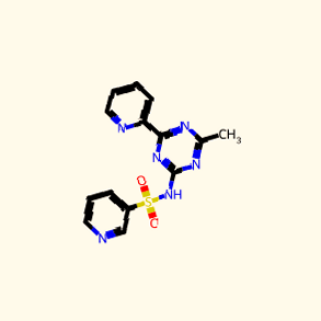 Cc1nc(NS(=O)(=O)c2cccnc2)nc(-c2ccccn2)n1